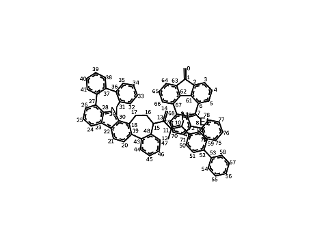 C=C1c2cccc(/C(CC)=N/C(=C(/C)C(=C)C3CCc4c(ccc5c6cccc7c6n(c45)-c4ccccc4-c4ccccc4-7)-c4ccccc43)c3ccc(-c4ccccc4)cc3)c2-c2c1cccc2-c1cccc(-c2ccccc2)c1